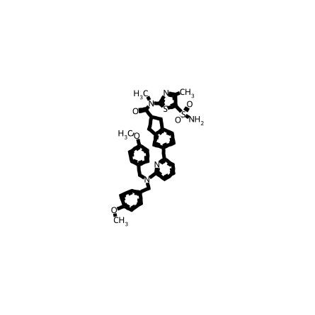 COc1ccc(CN(Cc2ccc(OC)cc2)c2cccc(-c3ccc4c(c3)CC(C(=O)N(C)c3nc(C)c(S(N)(=O)=O)s3)C4)n2)cc1